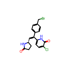 O=C1CC[C@H](C=C(c2ccc(CBr)cc2)c2ccc(Cl)c(=O)[nH]2)N1